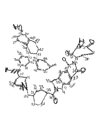 O=C1CCC(N2C(=O)c3cc4c(cc3C2=O)CN(C(=O)C2CCC(CN3CC(Nc5ccc([C@@H]6c7ccc(O)cc7CC[C@@H]6c6ccccc6)cc5)C3)CC2)C4)C(=O)N1